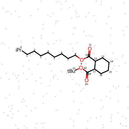 CC(C)CCCCCCCCOC(=O)C1CCCCC1C(=O)OC(C)(C)C